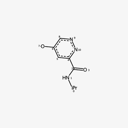 CC(C)NC(=O)c1cc([O])cnn1